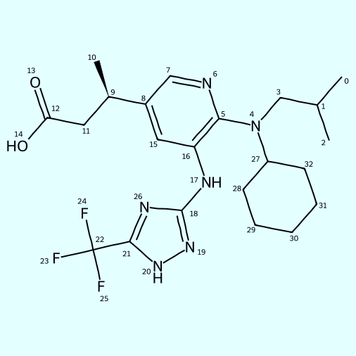 CC(C)CN(c1ncc([C@H](C)CC(=O)O)cc1Nc1n[nH]c(C(F)(F)F)n1)C1CCCCC1